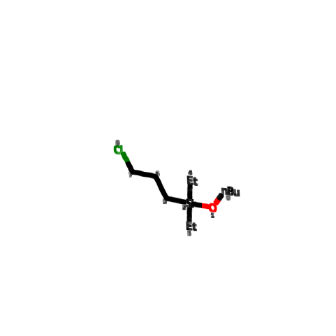 CCCCO[Si](CC)(CC)CCCCl